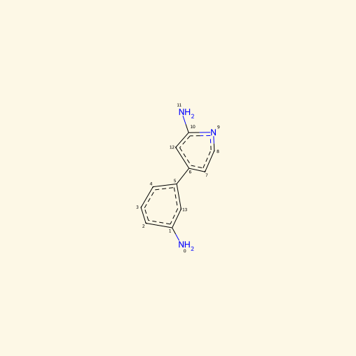 Nc1cccc(-c2ccnc(N)c2)c1